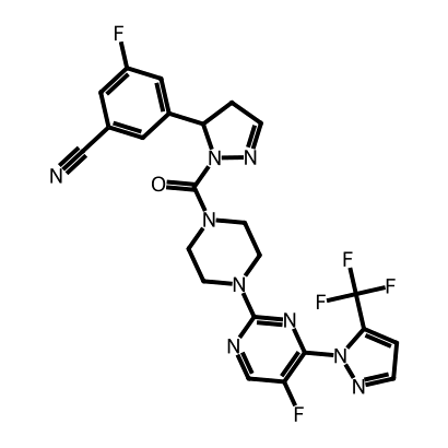 N#Cc1cc(F)cc(C2CC=NN2C(=O)N2CCN(c3ncc(F)c(-n4nccc4C(F)(F)F)n3)CC2)c1